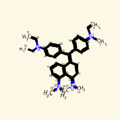 CCN(C)c1ccc(/C(=C2\C=CC(=[N+](C)C)c3c2cccc3N(C)C)c2ccc(N(CC)CC)cc2)cc1